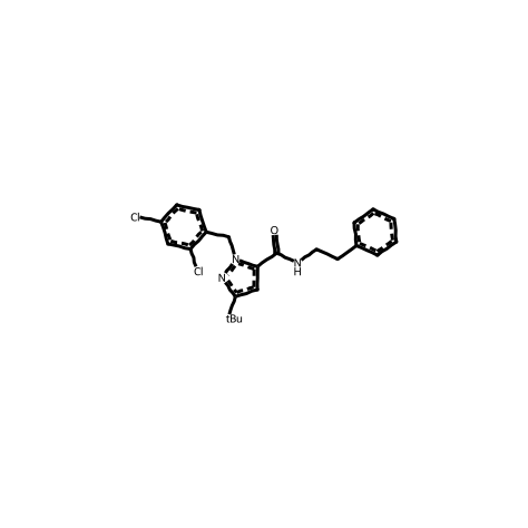 CC(C)(C)c1cc(C(=O)NCCc2ccccc2)n(Cc2ccc(Cl)cc2Cl)n1